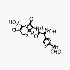 O=CNc1nc(C(=NO)C(=O)NC2C(=O)N3C(C(=O)O)=C(Cl)CS[C@@H]23)cs1